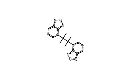 CC(C)(c1cccc2nonc12)C(C)(C)c1cncc2nsnc12